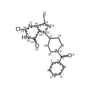 O=C(c1ccncc1)N1CCC(n2nc(F)c3nc(Cl)[nH]c(=O)c32)CC1